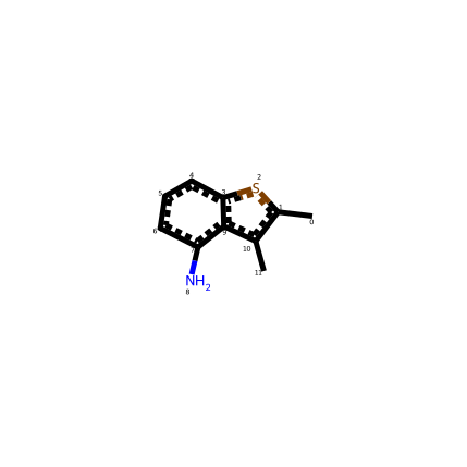 Cc1sc2cccc(N)c2c1C